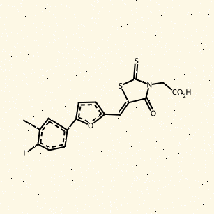 Cc1cc(-c2ccc(/C=C3\SC(=S)N(CC(=O)O)C3=O)o2)ccc1F